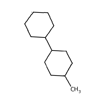 CC1CCC(C2CC[CH]CC2)CC1